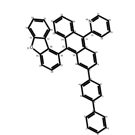 c1ccc(-c2ccc(-c3ccc4c(-c5ccccn5)c5ccccc5c(-c5cccc6oc7ccccc7c56)c4c3)cc2)cc1